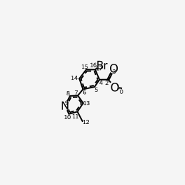 COC(=O)c1cc(-c2cncc(C)c2)ccc1Br